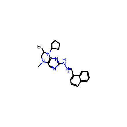 CCC1CN(C)c2cnc(N/N=C/c3cccc4ccccc34)nc2N1C1CCCC1